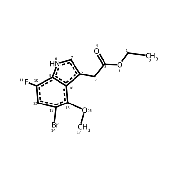 CCOC(=O)Cc1c[nH]c2c(F)cc(Br)c(OC)c12